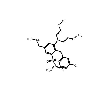 CNCc1cc(N(CCOC)CCOC)c(Oc2cccc(Cl)c2)c(S(=O)(=O)N(C)C)c1